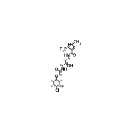 Cc1nc(C(F)(F)F)c(C(=O)NCCC(O)CNC(=O)COc2ccc(Cl)c(F)c2)s1